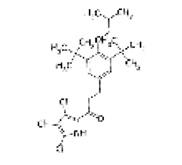 CC(C)COc1c(C(C)(C)C)cc(CCC(=O)c2[nH]c(Cl)c(Cl)c2Cl)cc1C(C)(C)C